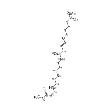 COC(=O)CCCCOC=CCC(=O)NCCSSCCN/C=C\C(=O)OC(C)(C)C